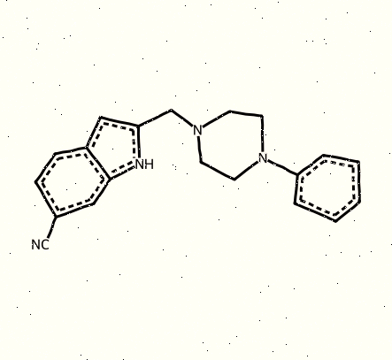 N#Cc1ccc2cc(CN3CCN(c4ccccc4)CC3)[nH]c2c1